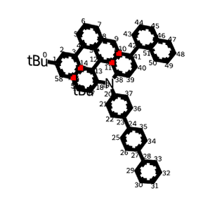 CC(C)(C)c1cc(-c2cccc3cccc(-c4ccccc4N(c4ccc(-c5ccc(-c6ccccc6)cc5)cc4)c4ccc(-c5cccc6ccccc56)cc4)c23)cc(C(C)(C)C)c1